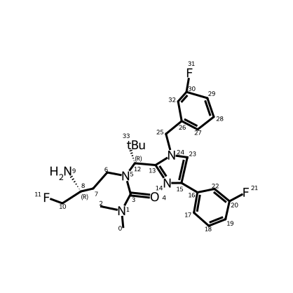 CN(C)C(=O)N(CC[C@@H](N)CF)[C@@H](c1nc(-c2cccc(F)c2)cn1Cc1cccc(F)c1)C(C)(C)C